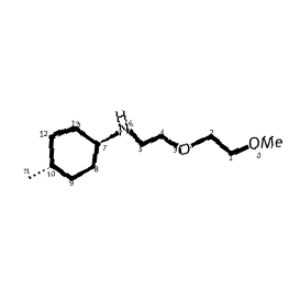 COCCOCCN[C@H]1CC[C@H](C)CC1